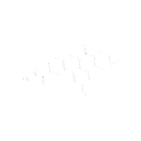 NNC(=O)c1ccc(CN(C(=O)N2CCS(=O)(=O)CC2)c2ccc(C(F)(F)F)cc2)cc1